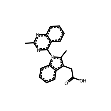 Cc1nc(-n2c(C)c(CC(=O)O)c3ccccc32)c2ccccc2n1